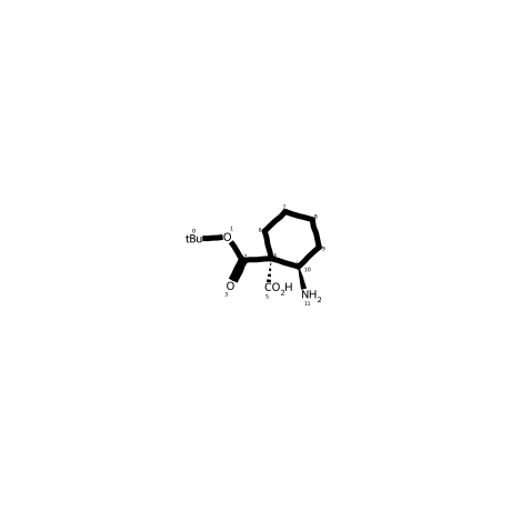 CC(C)(C)OC(=O)[C@@]1(C(=O)O)CCCC[C@H]1N